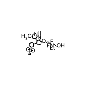 CCN(CCO)C(F)(F)CCOc1ccc(-c2cccc(S(=O)(=O)C3CC3)c2)c2c1[nH]c1ncc(C)cc12